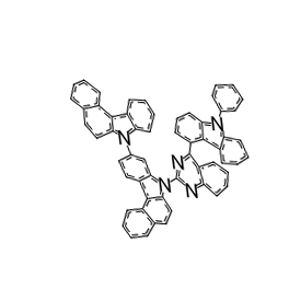 c1ccc(-n2c3ccccc3c3c(-c4nc(-n5c6cc(-n7c8ccccc8c8c9ccccc9ccc87)ccc6c6c7ccccc7ccc65)nc5ccccc45)cccc32)cc1